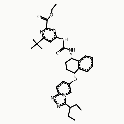 CCOC(=O)c1nc(NC(=O)N[C@H]2CC[C@@H](Oc3ccc4nnc(C(CC)CC)n4c3)c3ccccc32)cc(C(C)(C)C)n1